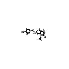 O=c1cc(C(F)(F)F)c2ccc(OCc3ccc(Br)cc3)cc2n1C1CC1